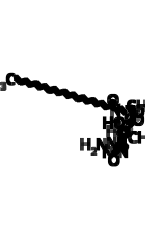 C=C1[C@H](COP(=O)(O)N(C)CCNC(=O)CCC=CCC=CCC=CCC=CCC=CCC=CCC)[C@@H](O)C[C@@H]1n1cnc2c(=O)nc(N)[nH]c21